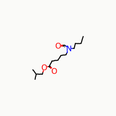 CCCCN([C]=O)CCCCC(=O)OCC(C)C